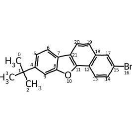 CC(C)(C)c1ccc2c(c1)oc1c3ccc(Br)cc3ccc21